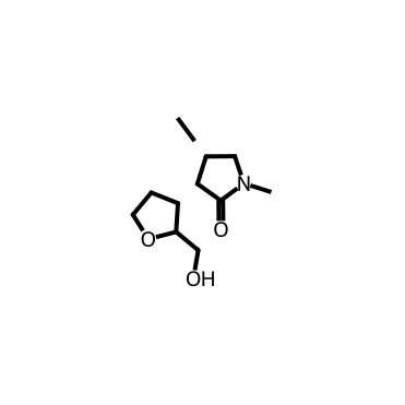 CC.CN1CCCC1=O.OCC1CCCO1